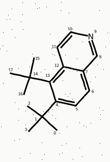 CC(C)(C)c1ccc2cnccc2c1C(C)(C)C